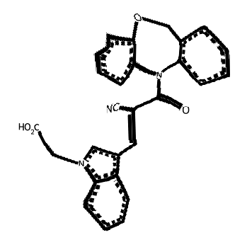 N#C/C(=C\c1cn(CC(=O)O)c2ccccc12)C(=O)N1c2ccccc2COc2ccccc21